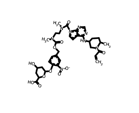 C=CC(=O)N1CC(Nc2ncnc3c2ccn3C(=O)N(C)CCN(C)C(=O)OCc2ccc(OC3CC(O)CC(C(=O)O)O3)c([N+](=O)[O-])c2)CCC1C